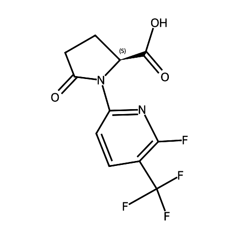 O=C(O)[C@@H]1CCC(=O)N1c1ccc(C(F)(F)F)c(F)n1